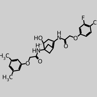 Cc1cc(C)cc(OCC(=O)NC23CC(=C(NC(=O)COc4ccc(Cl)c(F)c4)C[C@@H]2O)C3)c1